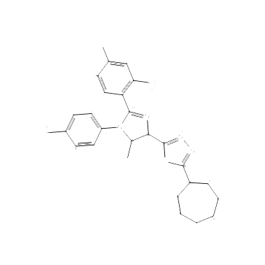 CC1C(c2nnc(C3CCCCCC3)s2)N=C(c2ccc(Cl)cc2Cl)N1c1ccc(Cl)cc1